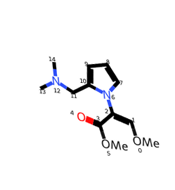 COC=C(C(=O)OC)n1cccc1CN(C)C